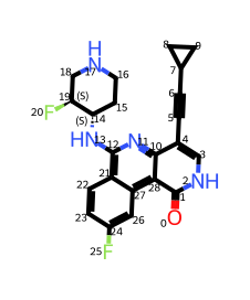 O=c1[nH]cc(C#CC2CC2)c2nc(N[C@H]3CCNC[C@@H]3F)c3ccc(F)cc3c12